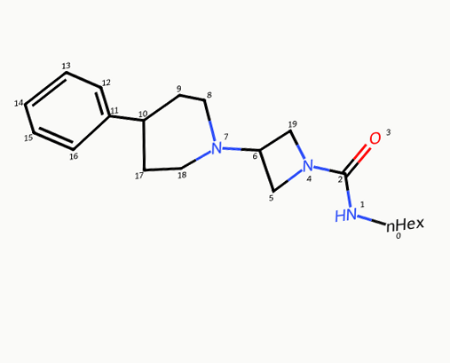 CCCCCCNC(=O)N1CC(N2CCC(c3ccccc3)CC2)C1